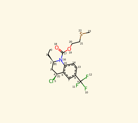 CC[C@@H]1C[C@H](Cl)c2cc(C(F)(F)F)ccc2N1C(=O)OCCSC